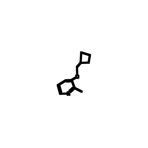 Cc1ncccc1OCC1CCC1